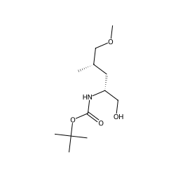 COC[C@@H](C)C[C@H](CO)NC(=O)OC(C)(C)C